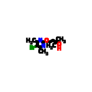 Cc1nc(OCCC(C)(C)O)nc(C)c1Br